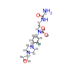 NCC(=O)NCC1CN(c2ccc(N3CCN(C4COC4)CC3)c(F)c2)C(=O)O1